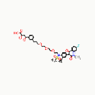 CNC(=O)c1c(-c2ccc(F)cc2)oc2cc(N(CCOCCOCCOCCCc3cccc(C(=O)CC(=O)C(=O)O)c3)S(C)(=O)=O)c(C3CC3)cc12